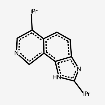 CC(C)c1nc2ccc3c(C(C)C)cncc3c2[nH]1